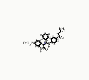 CCOC(=O)c1ccc2c(c1)NC(=O)/C2=C(\Nc1ccc(N(CCN)C(C)=O)cc1)c1ccccc1